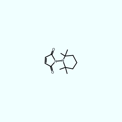 CC1(C)CCCC(C)(C)N1N1C(=O)C=CC1=O